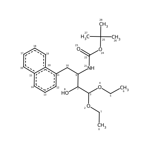 CCOC(OCC)C(O)C(Cc1cccc2ccccc12)NC(=O)OC(C)(C)C